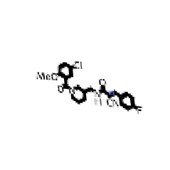 COc1ccc(Cl)cc1C(=O)N1CCCC(CNC(=O)/C(C#N)=C/c2ccc(F)cc2)C1